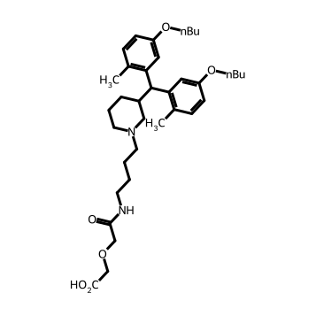 CCCCOc1ccc(C)c(C(c2cc(OCCCC)ccc2C)C2CCCN(CCCCNC(=O)COCC(=O)O)C2)c1